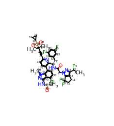 CC(F)c1nn(CC(=O)N[C@@H](Cc2cc(F)cc(F)c2)c2nc(C#CC(C)(C)S(=O)(=O)C3CC3)ccc2-c2ccc(Cl)c3c(N[S+](C)[O-])nn(C)c23)c2c1CCC2(F)F